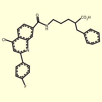 O=C(NCCCC(Cc1ccccc1)C(=O)O)c1ccc2c(Cl)cc(-c3ccc(F)cc3)nc2c1